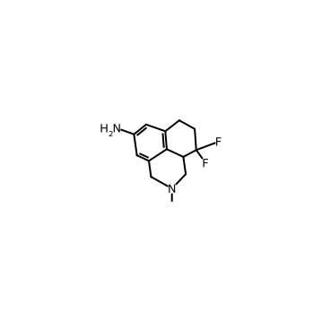 CN1Cc2cc(N)cc3c2C(C1)C(F)(F)CC3